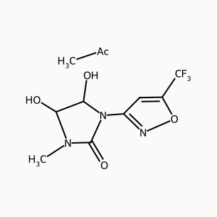 CC(C)=O.CN1C(=O)N(c2cc(C(F)(F)F)on2)C(O)C1O